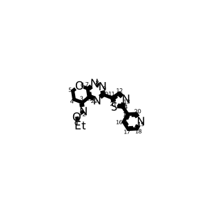 CCO/N=C1\CCOc2nnc(-c3cnc(-c4cccnc4)s3)nc21